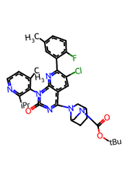 Cc1ccc(F)c(-c2nc3c(cc2Cl)c(N2CC4CCC2CN4C(=O)OC(C)(C)C)nc(=O)n3-c2c(C)ccnc2C(C)C)c1